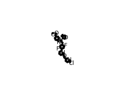 COC(=O)c1ccc2nc(Cc3cc(F)c(-c4cccc(OCc5ccc(Cl)nc5)n4)cc3F)n([C@@H]3COCC3(C)C)c2c1